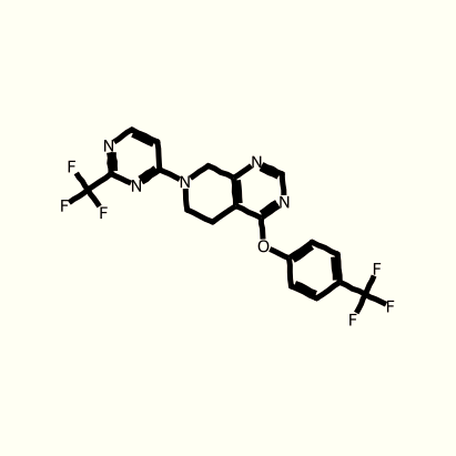 FC(F)(F)c1ccc(Oc2ncnc3c2CCN(c2ccnc(C(F)(F)F)n2)C3)cc1